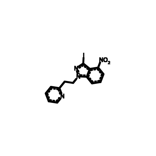 O=[N+]([O-])c1cccc2c1c(I)nn2CCc1ccccn1